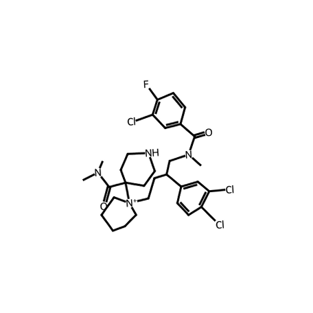 CN(C)C(=O)C1([N+]2(CCC(CN(C)C(=O)c3ccc(F)c(Cl)c3)c3ccc(Cl)c(Cl)c3)CCCCC2)CCNCC1